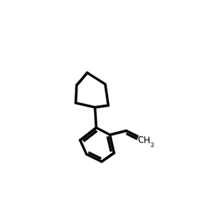 C=Cc1ccccc1C1CCCCC1